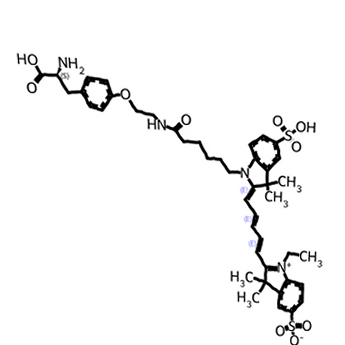 CC[N+]1=C(/C=C/C=C/C=C2/N(CCCCCC(=O)NCCOc3ccc(C[C@H](N)C(=O)O)cc3)c3ccc(S(=O)(=O)O)cc3C2(C)C)C(C)(C)c2cc(S(=O)(=O)[O-])ccc21